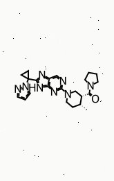 C[C@@H]1CCN(c2ncc3nc(C4(n5cccn5)CC4)[nH]c3n2)C[C@@H]1C(=O)N1CCCC1